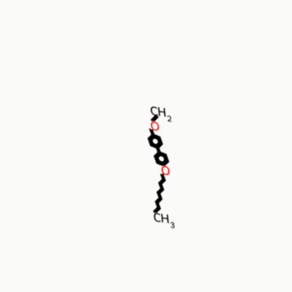 C=CCOCc1ccc(-c2ccc(OCCCCCCCCCC)cc2)cc1